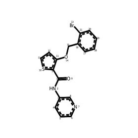 O=C(Nc1cccnc1)c1sccc1OCc1ccccc1Br